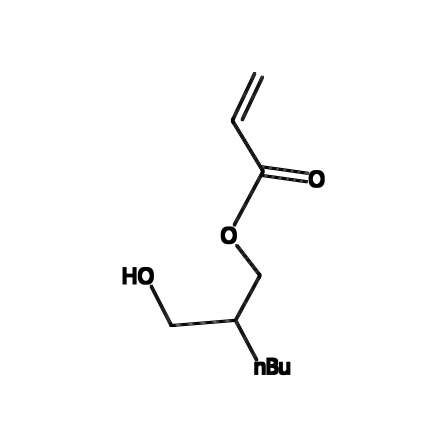 C=CC(=O)OCC(CO)CCCC